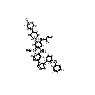 C=CC(=O)Nc1cc(Nc2cc(N3OCCC3c3cccc(Oc4ccccc4)c3)ncn2)c(OC)cc1N1CCC(N2CCN(C)CC2)CC1